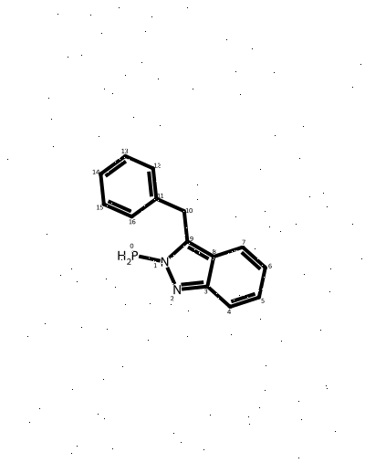 Pn1nc2ccccc2c1Cc1ccccc1